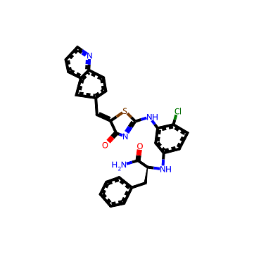 NC(=O)[C@H](Cc1ccccc1)Nc1ccc(Cl)c(NC2=NC(=O)/C(=C/c3ccc4ncccc4c3)S2)c1